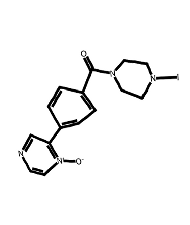 O=C(c1ccc(-c2cncc[n+]2[O-])cc1)N1CCN(I)CC1